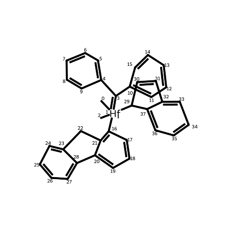 [CH3][Hf]([CH3])(=[C](c1ccccc1)c1ccccc1)([c]1cccc2c1Cc1ccccc1-2)[CH]1C=Cc2ccccc21